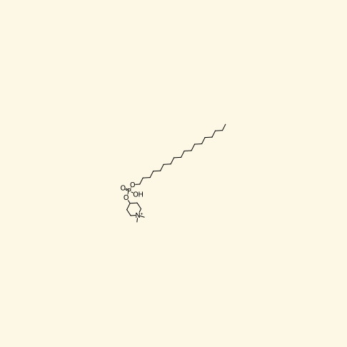 CCCCCCCCCCCCCCCCCCOP(=O)(O)OC1CC[N+](C)(C)CC1